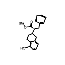 CC(C)(C)OC(=O)N(Cc1ccccc1)C1CCc2c(O)cccc2C1